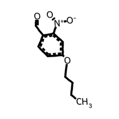 CCCCOc1ccc(C=O)c([N+](=O)[O-])c1